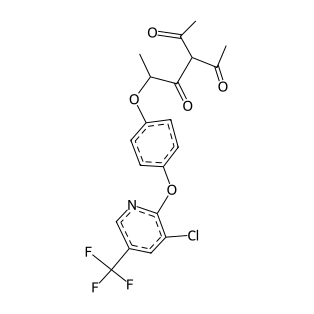 CC(=O)C(C(C)=O)C(=O)C(C)Oc1ccc(Oc2ncc(C(F)(F)F)cc2Cl)cc1